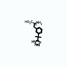 CC(C)(c1cccc(C[C@H](N)C(=O)O)c1)c1nnn[nH]1